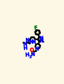 CNc1cn2nc(-c3c(-c4ccc(F)cc4)nn(C)c3C3CCN(CC(N)=O)CC3)ccc2n1